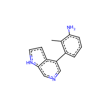 Cc1c(N)cccc1-c1cncc2[nH]ccc12